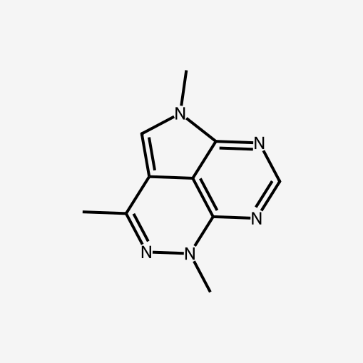 CC1=NN(C)c2ncnc3c2c1cn3C